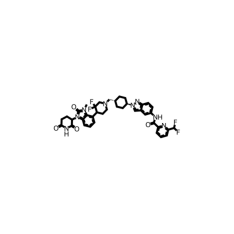 Cn1c(=O)n(C2CCC(=O)NC2=O)c2cccc(C3CCN(C[C@H]4CC[C@H](n5cc6cc(NC(=O)c7cccc(C(F)F)n7)ccc6n5)CC4)CC3(F)F)c21